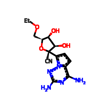 CCOC[C@H]1O[C@@](C#N)(c2ccc3c(N)nc(N)nn23)[C@H](O)[C@@H]1O